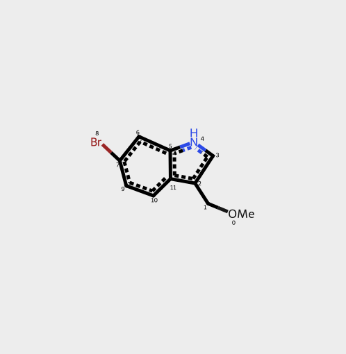 COCc1c[nH]c2cc(Br)ccc12